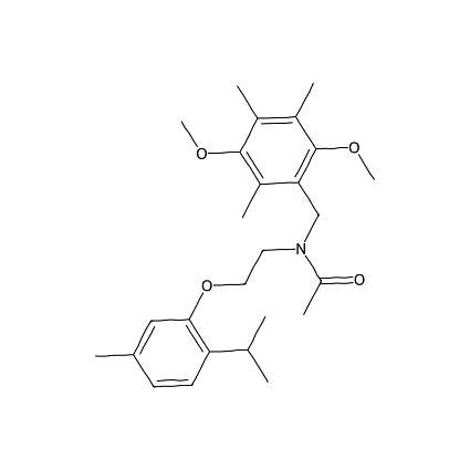 COc1c(C)c(C)c(OC)c(CN(CCOc2cc(C)ccc2C(C)C)C(C)=O)c1C